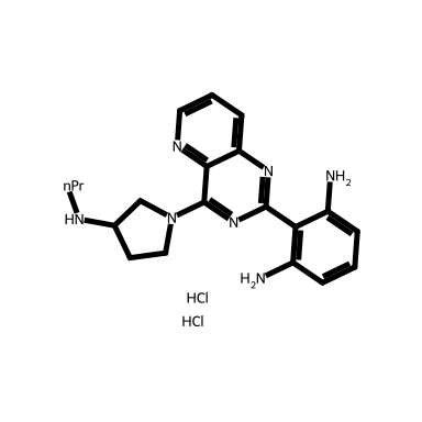 CCCNC1CCN(c2nc(-c3c(N)cccc3N)nc3cccnc23)C1.Cl.Cl